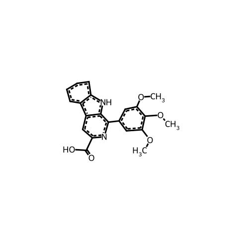 COc1cc(-c2nc(C(=O)O)cc3c2[nH]c2ccccc23)cc(OC)c1OC